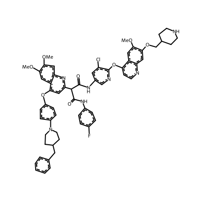 COc1cc2nc(C(C(=O)Nc3ccc(F)cc3)C(=O)Nc3cnc(Oc4ccnc5cc(OCC6CCNCC6)c(OC)cc45)c(Cl)c3)cc(Oc3ccc(N4CCC(Cc5ccccc5)CC4)cc3)c2cc1OC